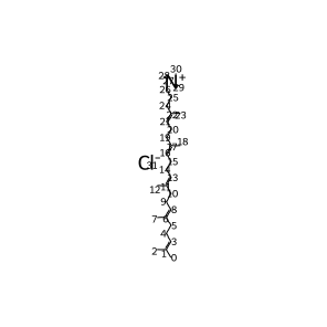 CC(C)=CCC/C(C)=C/CC/C(C)=C/CC/C=C(\C)CC/C=C(\C)CCC[N+](C)(C)C.[Cl-]